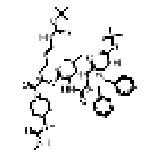 CNC(=O)NC1CCN(C(=O)[C@@H](CCCCNC(=O)OC(C)(C)C)NC(=O)[C@@H](CC(C)C)NC(=O)[C@@H](Cc2ccccc2)NC(=O)[C@@H](Cc2ccccc2)NC(=O)OC(C)(C)C)CC1